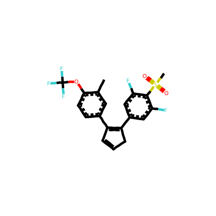 Cc1cc(C2=C(c3cc(F)c(S(C)(=O)=O)c(F)c3)CC=C2)ccc1OC(F)(F)F